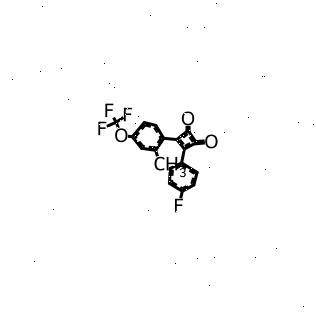 Cc1cc(OC(F)(F)F)ccc1-c1c(-c2ccc(F)cc2)c(=O)c1=O